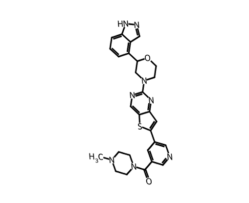 CN1CCN(C(=O)c2cncc(-c3cc4nc(N5CCOC(c6cccc7[nH]ncc67)C5)ncc4s3)c2)CC1